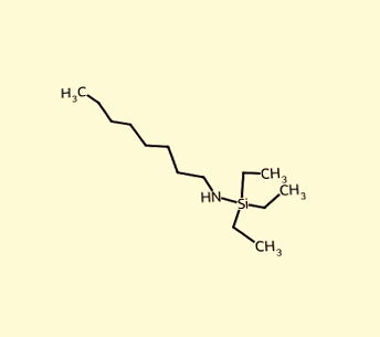 CCCCCCCCN[Si](CC)(CC)CC